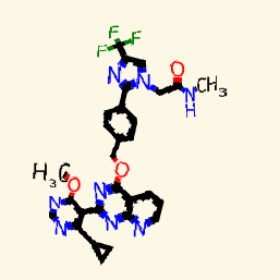 CNC(=O)Cn1cc(C(F)(F)F)nc1-c1ccc(COc2nc(-c3c(OC)ncnc3C3CC3)nc3ncccc23)cc1